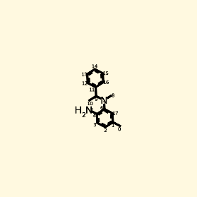 Cc1ccc(N)c(N(C)C(C)c2ccccc2)c1